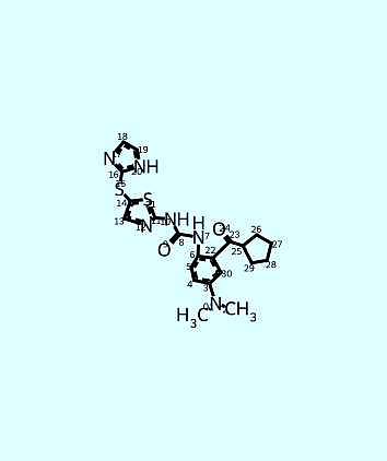 CN(C)c1ccc(NC(=O)Nc2ncc(Sc3ncc[nH]3)s2)c(C(=O)C2CCCC2)c1